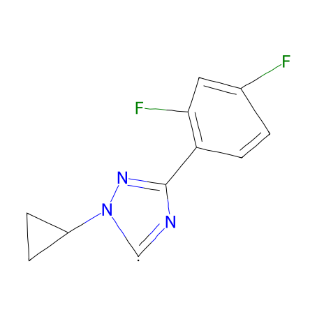 Fc1ccc(-c2n[c]n(C3CC3)n2)c(F)c1